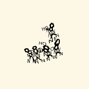 N#Cc1nc2c(nc1C#N)-c1ccc(F)cc1C2=O.N#Cc1nc2c(nc1C#N)-c1ccc(O)cc1C2=O.N#Cc1nc2c(nc1C#N)-c1ccccc1C2=NO.N#Cc1nc2c(nc1C#N)C(=O)c1ccccc1C2=O.N#Cc1nc2sc3ccccc3c2nc1C#N